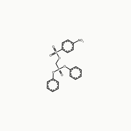 O=[N+]([O-])c1ccc(S(=O)(=O)OCP(=O)(Oc2ccccc2)Oc2ccccc2)cc1